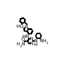 NC(=O)c1cnc(N[C@@H]2CCCC[C@@H]2N)nc1Nc1cccc2c1ccn2Cc1ccccc1O